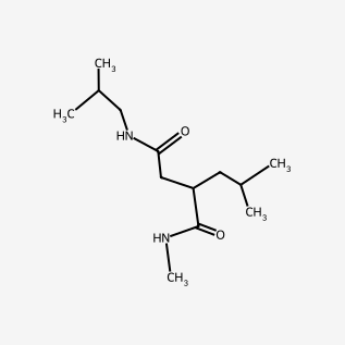 CNC(=O)C(CC(=O)NCC(C)C)CC(C)C